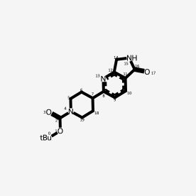 CC(C)(C)OC(=O)N1CCC(c2ccc3c(n2)CNC3=O)CC1